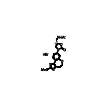 Br.CNc1nc2c(s1)CCOc1cc(N3C[C@H](CNC(C)=O)OC3=O)ccc1-2